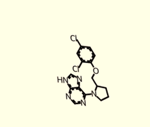 Clc1ccc(OCC2CCCN2c2ncnc3[nH]cnc23)c(Cl)c1